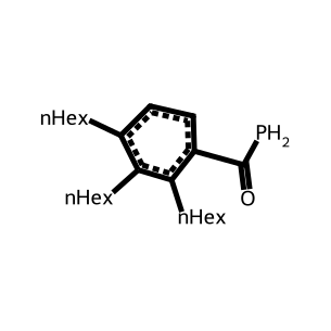 CCCCCCc1ccc(C(=O)P)c(CCCCCC)c1CCCCCC